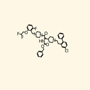 O=C(N[C@@H](C(=O)N1CCN(Cc2c(F)cccc2OCC(F)F)CC1)C1CCN(CCc2cc(Cl)ccc2-c2ccccc2)CC1)OCc1ccccc1